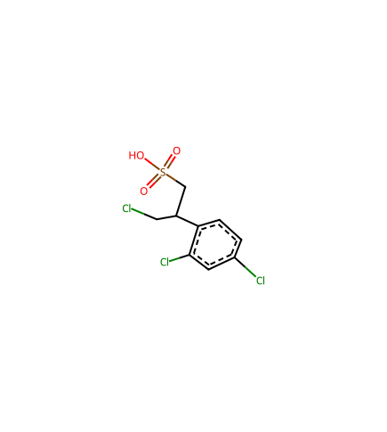 O=S(=O)(O)CC(CCl)c1ccc(Cl)cc1Cl